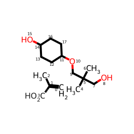 C=C(C)C(=O)O.CC(C)(CO)COC1CCC(O)CC1